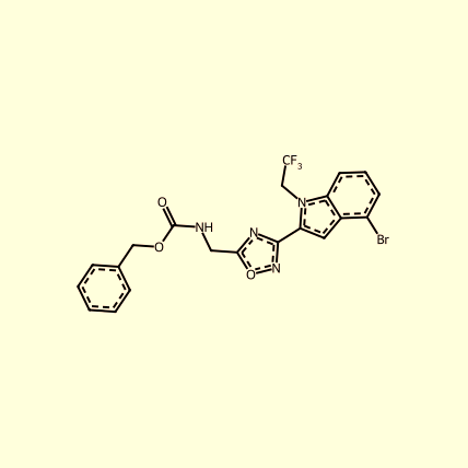 O=C(NCc1nc(-c2cc3c(Br)cccc3n2CC(F)(F)F)no1)OCc1ccccc1